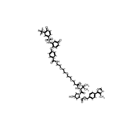 Cc1ncsc1-c1ccc(CNC(=O)[C@@H]2C[C@@H](O)CN2C(=O)[C@@H](NC(=O)CCOCCOCCOCCNC(=O)c2ccc(Oc3ccc(Cl)cc3NS(=O)(=O)c3ccc(Cl)c(C(F)(F)F)c3)cc2)C(C)(C)C)cc1